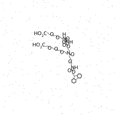 O=C(O)CCOCCOCCNS(=O)(=O)NC(=O)OCCN(CCOCCOCCOCCC(=O)O)C(=O)CCOCCNC(=O)OCC1c2ccccc2-c2ccccc21